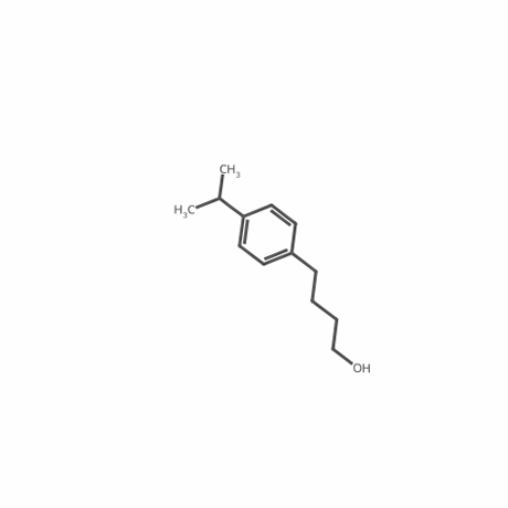 CC(C)c1ccc(CCCCO)cc1